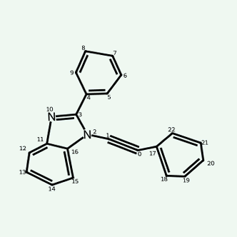 C(#Cn1c(-c2ccccc2)nc2ccccc21)c1ccccc1